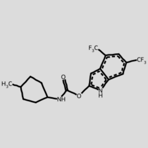 CC1CCC(NC(=O)Oc2cc3c(C(F)(F)F)cc(C(F)(F)F)cc3[nH]2)CC1